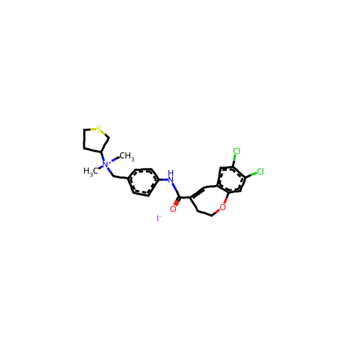 C[N+](C)(Cc1ccc(NC(=O)C2=Cc3cc(Cl)c(Cl)cc3OCC2)cc1)C1CCSC1.[I-]